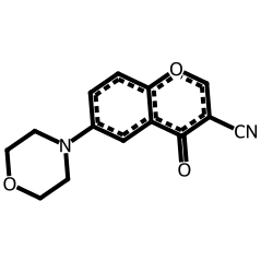 N#Cc1coc2ccc(N3CCOCC3)cc2c1=O